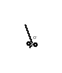 CCCCCCCCCCCCCC[N+](CCC)(c1ccccc1)c1ccccc1.[Cl-]